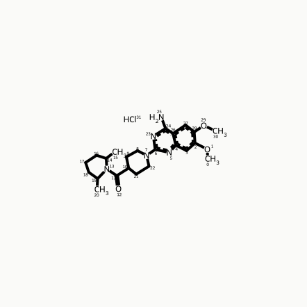 COc1cc2nc(N3CCC(C(=O)N4C(C)CCCC4C)CC3)nc(N)c2cc1OC.Cl